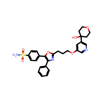 NS(=O)(=O)c1ccc(-c2oc(CCCOc3cncc(C4(O)CCOCC4)c3)nc2-c2ccccc2)cc1